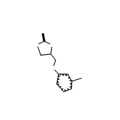 O=C1[N]CC(COc2cccc(Cl)c2)O1